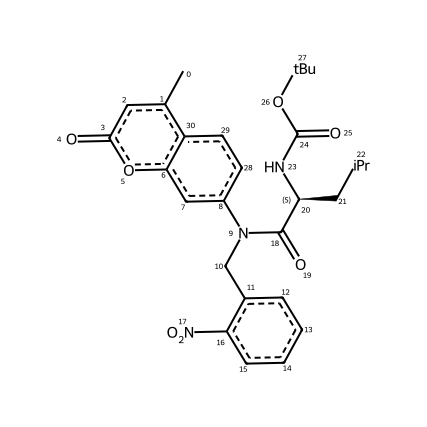 Cc1cc(=O)oc2cc(N(Cc3ccccc3[N+](=O)[O-])C(=O)[C@H](CC(C)C)NC(=O)OC(C)(C)C)ccc12